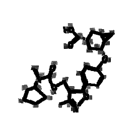 Cc1noc(-c2ccc(O[C@@H]3C[C@H](C(=O)O)CC4=CC43)cc2)c1COC(=O)N(C)C1CCCC1